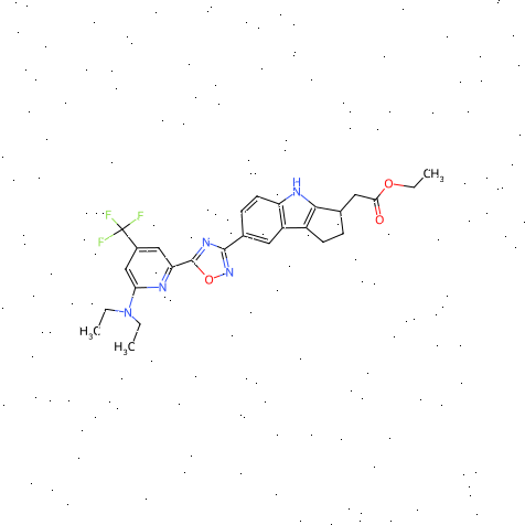 CCOC(=O)CC1CCc2c1[nH]c1ccc(-c3noc(-c4cc(C(F)(F)F)cc(N(CC)CC)n4)n3)cc21